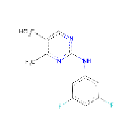 O=C(O)c1cnc(Nc2cc(F)cc(F)c2)nc1C(F)(F)F